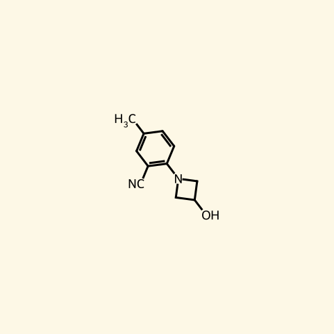 Cc1ccc(N2CC(O)C2)c(C#N)c1